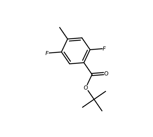 Cc1cc(F)c(C(=O)OC(C)(C)C)cc1F